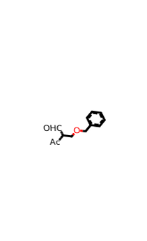 CC(=O)C(C=O)COCc1ccccc1